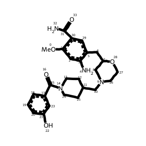 COc1cc(N)c(CC2CN(CC3CCN(C(=O)c4cccc(O)c4)CC3)CCO2)cc1C(N)=O